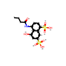 CCCC(=O)Nc1ccc(S(=O)(=O)O)c2cc(S(=O)(=O)O)cc(O)c12